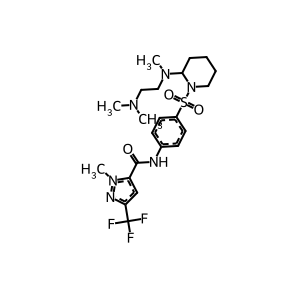 CN(C)CCN(C)C1CCCCN1S(=O)(=O)c1ccc(NC(=O)c2cc(C(F)(F)F)nn2C)cc1